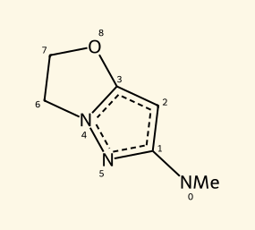 CNc1cc2n(n1)CCO2